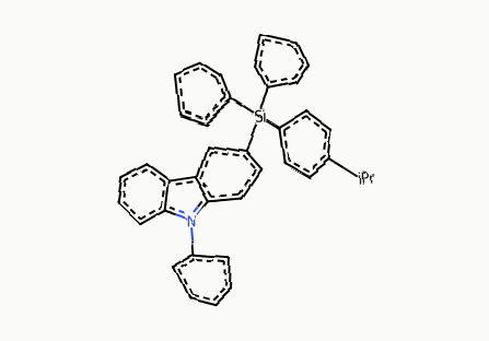 CC(C)c1ccc([Si](c2ccccc2)(c2ccccc2)c2ccc3c(c2)c2ccccc2n3-c2ccccc2)cc1